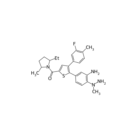 CCC1CCC(C)N1C(=O)c1cc(-c2ccc(C)c(F)c2)c(-c2ccc(N(C)N)c(N)c2)s1